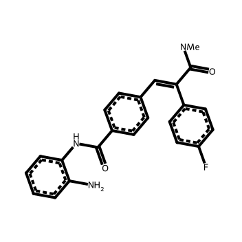 CNC(=O)/C(=C/c1ccc(C(=O)Nc2ccccc2N)cc1)c1ccc(F)cc1